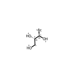 CC(=O)[C@@H](O)[C@@H](O)CO